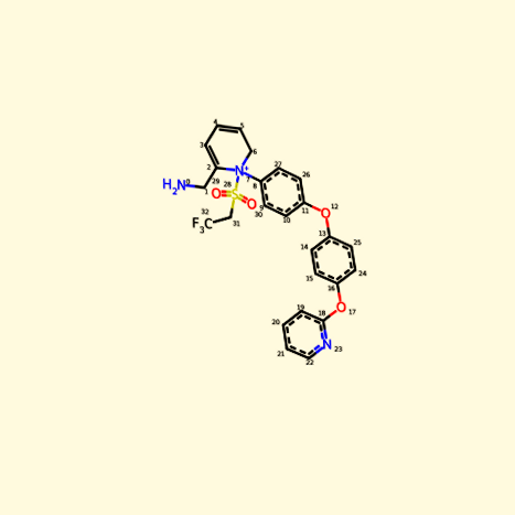 NCC1=CC=CC[N+]1(c1ccc(Oc2ccc(Oc3ccccn3)cc2)cc1)S(=O)(=O)CC(F)(F)F